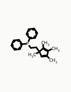 CC1=[C]C(C)(CCP(c2ccccc2)c2ccccc2)C(C)=C1C